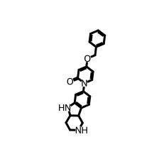 O=c1cc(OCc2ccccc2)ccn1-c1ccc2c(c1)NC1CCNCC21